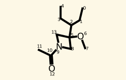 CCC(CC)C1(OC)CN(C(C)=O)C1